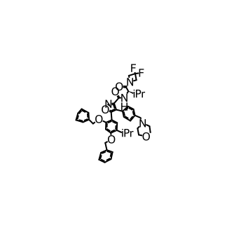 CC(C)c1cc(-c2onc(C(=O)N[C@@H](C(=O)N3CC(F)(F)C3)C(C)C)c2-c2ccc(CN3CCOCC3)cc2)c(OCc2ccccc2)cc1OCc1ccccc1